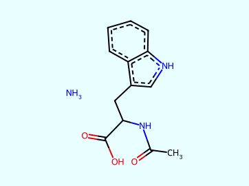 CC(=O)NC(Cc1c[nH]c2ccccc12)C(=O)O.N